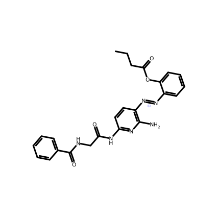 CCCC(=O)Oc1ccccc1/N=N/c1ccc(NC(=O)CNC(=O)c2ccccc2)nc1N